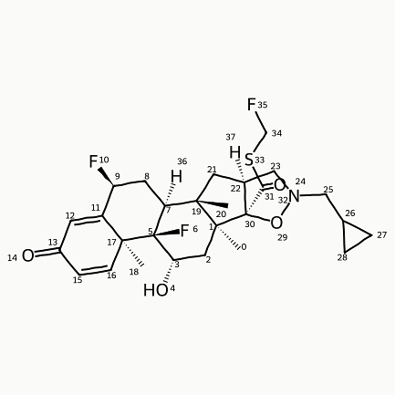 C[C@]12C[C@H](O)[C@@]3(F)[C@@H](C[C@H](F)C4=CC(=O)C=C[C@@]43C)[C@]1(C)C[C@H]1CN(CC3CC3)O[C@]12C(=O)SCF